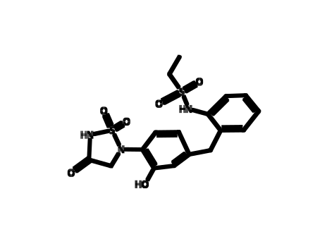 CCS(=O)(=O)Nc1ccccc1Cc1ccc(N2CC(=O)NS2(=O)=O)c(O)c1